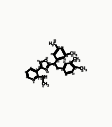 CNc1ncccc1-c1noc(C(Cc2ccc(C)c(C)c2)c2cc(C)cc(C)c2)n1